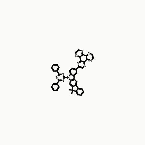 CC1(C)c2ccccc2-c2cc3c4cc(-c5cnc6c7nccnc7c7nccnc7c6n5)ccc4n(-c4nc(-c5ccccc5)nc(-c5ccccc5)n4)c3cc21